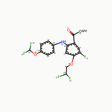 COC(=O)c1cc(F)c(OCC(F)F)cc1Nc1ccc(OC(F)F)cc1